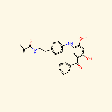 C=C(C)C(=O)NCCc1ccc(Nc2cc(C(=O)c3ccccc3)c(O)cc2OC)cc1